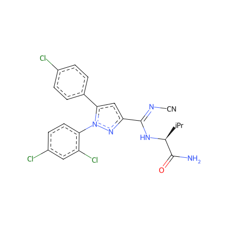 CC(C)[C@H](NC(=NC#N)c1cc(-c2ccc(Cl)cc2)n(-c2ccc(Cl)cc2Cl)n1)C(N)=O